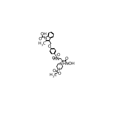 Cc1c(COc2ccc(S(=O)(=O)NC[C@@H](C(=O)NO)N3CCN(S(C)(=O)=O)CC3)cc2)c2ccccc2n1C(=O)O